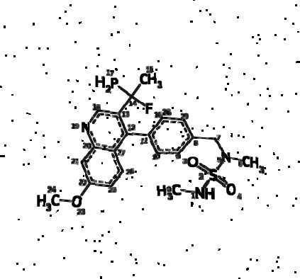 CNS(=O)(=O)N(C)Cc1ccc(-c2c(C(C)(F)P)cnc3cc(OC)ccc23)cc1